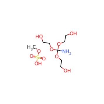 COS(=O)(=O)O.NC(OCCO)(OCCO)OCCO